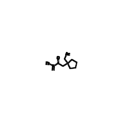 CCNC(=O)CC1(CC(C)=O)CCCC1